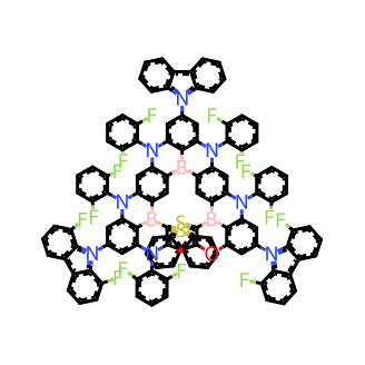 Fc1cccc(F)c1N1c2cc3c(cc2B2c4sc5ccccc5c4Oc4cc(-n5c6c(F)cccc6c6cccc(F)c65)cc1c42)B1c2cc4c(cc2N(c2c(F)cccc2F)c2cc(-n5c6ccccc6c6ccccc65)cc(c21)N3c1c(F)cccc1F)N(c1c(F)cccc1F)c1cc(-n2c3c(F)cccc3c3cccc(F)c32)cc2c1B4c1sc3ccccc3c1N2c1c(F)cccc1F